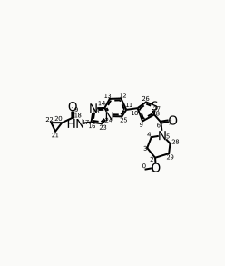 COC1CCN(C(=O)c2cc(-c3ccc4nc(NC(=O)C5CC5)cn4c3)cs2)CC1